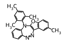 Cc1cc(C)c(N2c3ccccc3N=Nc3c2oc2ccc(C)cc32)c(C)c1